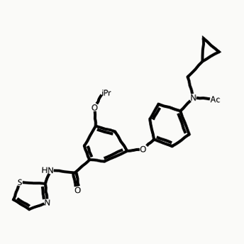 CC(=O)N(CC1CC1)c1ccc(Oc2cc(OC(C)C)cc(C(=O)Nc3nccs3)c2)cc1